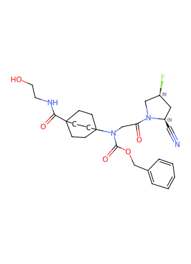 N#C[C@@H]1C[C@H](F)CN1C(=O)CN(C(=O)OCc1ccccc1)C12CCC(C(=O)NCCO)(CC1)CC2